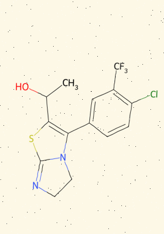 CC(O)C1=C(c2ccc(Cl)c(C(F)(F)F)c2)N2CCN=C2S1